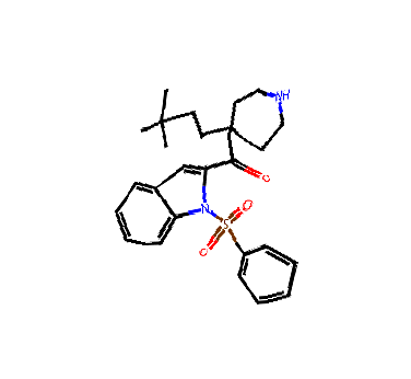 CC(C)(C)CCC1(C(=O)c2cc3ccccc3n2S(=O)(=O)c2ccccc2)CCNCC1